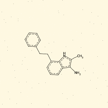 Cc1[nH]c2c(CCc3ccccc3)cccc2c1N